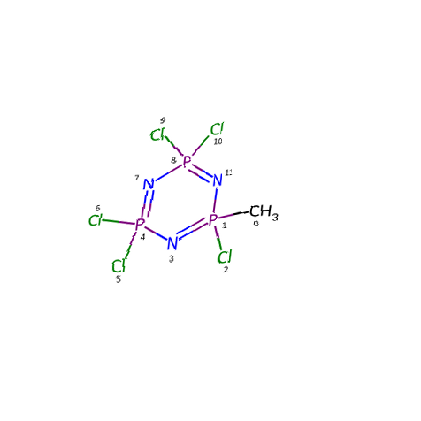 CP1(Cl)=NP(Cl)(Cl)=NP(Cl)(Cl)=N1